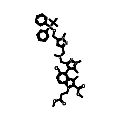 COC(=O)CCn1c(C(=O)OC)c(C)c2c(-c3c(CN(C)Cc4cc(CO[Si](c5ccccc5)(c5ccccc5)C(C)(C)C)n(C)n4)nn(C)c3C)c(Cl)ccc21